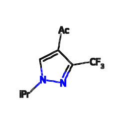 CC(=O)c1cn(C(C)C)nc1C(F)(F)F